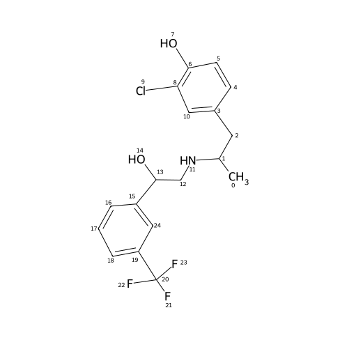 CC(Cc1ccc(O)c(Cl)c1)NCC(O)c1cccc(C(F)(F)F)c1